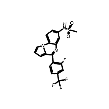 CS(=O)(=O)Nc1ccc2c(c1)nc(-c1ccc(C(F)(F)F)cc1F)c1cccn12